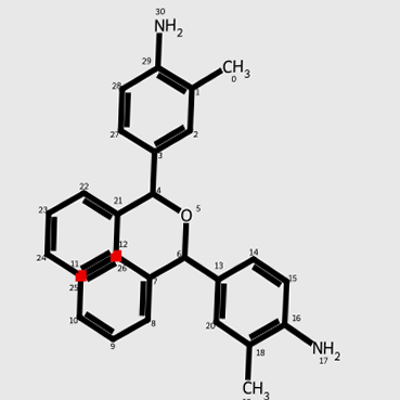 Cc1cc(C(OC(c2ccccc2)c2ccc(N)c(C)c2)c2ccccc2)ccc1N